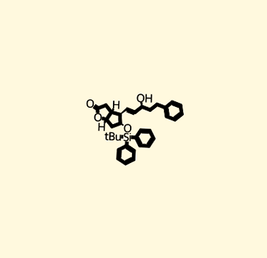 CC(C)(C)[Si](O[C@@H]1C[C@@H]2OC(=O)C[C@@H]2[C@H]1/C=C/[C@@H](O)CCc1ccccc1)(c1ccccc1)c1ccccc1